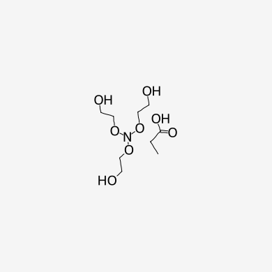 CCC(=O)O.OCCON(OCCO)OCCO